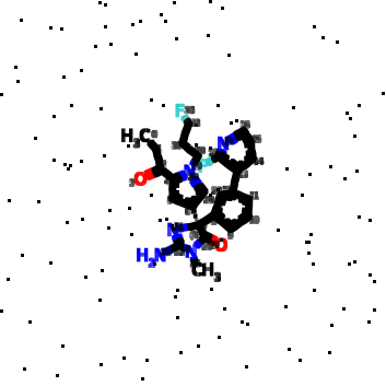 CCC(=O)c1cc([C@@]2(c3cccc(-c4cccnc4F)c3)N=C(N)N(C)C2=O)cn1CCCF